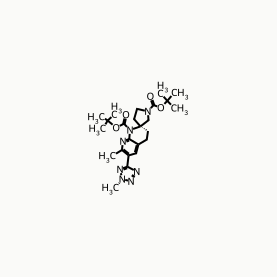 Cc1nc2c(cc1-c1nnn(C)n1)CC[C@@]1(CCN(C(=O)OC(C)(C)C)C1)N2C(=O)OC(C)(C)C